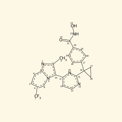 Cc1nc2ccc(C(F)(F)F)cn2c1-c1ccnc(C2(c3ccc(C(=O)NO)cc3)CC2)n1